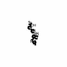 CCc1c(-c2cnc3cc(C)ccn23)ccc(Nc2ccc(N3CCCC(C4(O)CN(C)C4)C3)cn2)c1C(C)=O